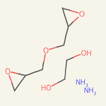 C(OCC1CO1)C1CO1.N.N.OCCO